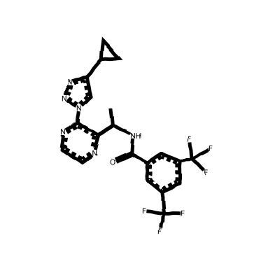 CC(NC(=O)c1cc(C(F)(F)F)cc(C(F)(F)F)c1)c1nccnc1-n1cc(C2CC2)nn1